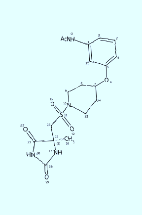 CC(=O)Nc1cccc(OC2CCN(S(=O)(=O)C[C@@]3(C)NC(=O)NC3=O)CC2)c1